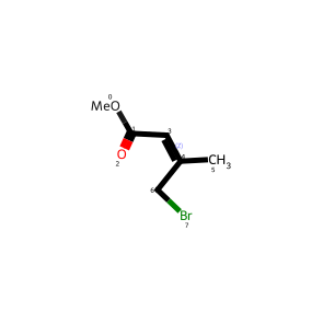 COC(=O)/C=C(/C)CBr